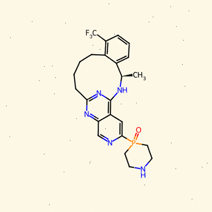 C[C@H]1Nc2nc(nc3cnc(P4(=O)CCNCC4)cc23)CCCCc2c1cccc2C(F)(F)F